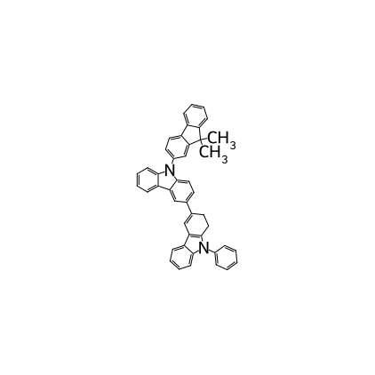 CC1(C)c2ccccc2-c2ccc(-n3c4ccccc4c4cc(C5=Cc6c(n(-c7ccccc7)c7ccccc67)CC5)ccc43)cc21